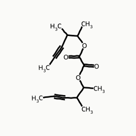 CC#CC(C)C(C)OC(=O)C(=O)OC(C)C(C)C#CC